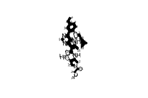 CCc1ccc(OCC2CC2)c(-c2ncnc3c(C(=O)N[C@@H]4CN(C(=O)COC)C[C@H]4O)c(C)[nH]c23)c1